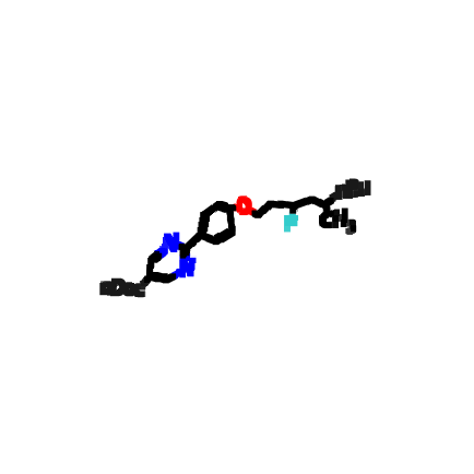 CCCCCCCCCCc1cnc(-c2ccc(OCCC(F)CC(C)CCCC)cc2)nc1